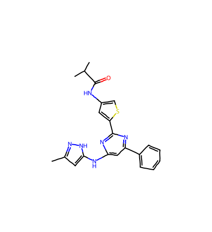 Cc1cc(Nc2cc(-c3ccccc3)nc(-c3cc(NC(=O)C(C)C)cs3)n2)[nH]n1